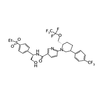 CCS(=O)(=O)c1ccc([C@H](CO)NC(=O)c2ccc(N3CC(c4ccc(C(F)(F)F)cc4)CC[C@H]3COC(F)(F)C(F)(F)F)nc2)cc1